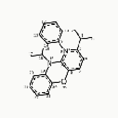 CC(C)c1ccc2c([n+]1-c1ccccc1)N(C(C)C)c1ccccc1O2